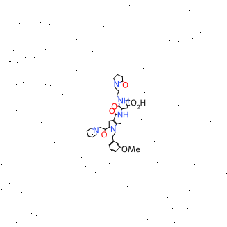 COc1cccc(CCn2c(C(=O)CN3CCCCC3)cc(C(=O)NC(CC(=O)O)C(=O)NCCCN3CCCC3=O)c2C)c1